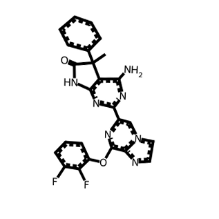 CC1(c2ccccc2)C(=O)Nc2nc(-c3cn4ccnc4c(Oc4cccc(F)c4F)n3)nc(N)c21